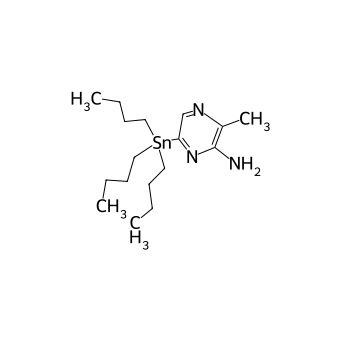 CCC[CH2][Sn]([CH2]CCC)([CH2]CCC)[c]1cnc(C)c(N)n1